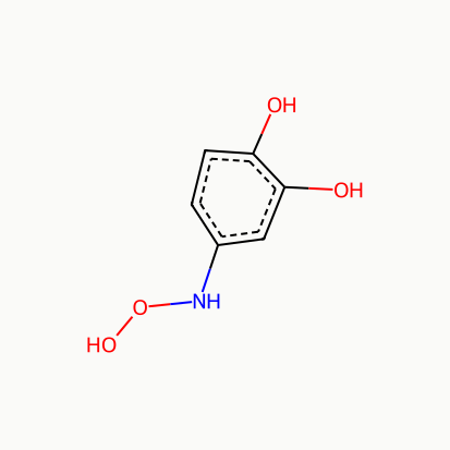 OONc1ccc(O)c(O)c1